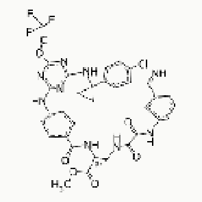 COC(=O)[C@H](CNC(=O)C(=O)Nc1cccc(C=N)c1)NC(=O)c1ccc(Nc2nc(NC3(c4ccc(Cl)cc4)CC3)nc(OCC(F)(F)F)n2)cc1